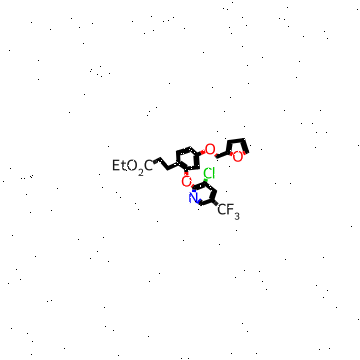 CCOC(=O)CCc1ccc(OCc2ccco2)cc1Oc1ncc(C(F)(F)F)cc1Cl